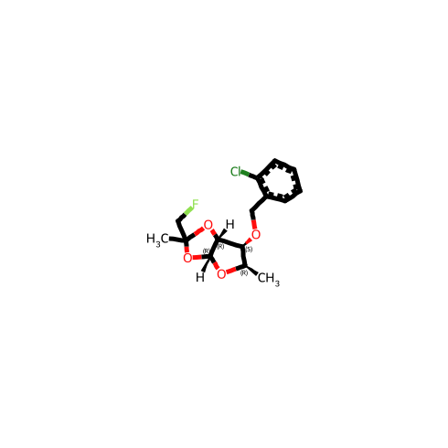 C[C@H]1O[C@@H]2OC(C)(CF)O[C@@H]2[C@H]1OCc1ccccc1Cl